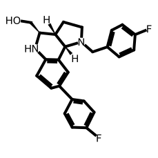 OC[C@@H]1Nc2ccc(-c3ccc(F)cc3)cc2[C@@H]2[C@H]1CCN2Cc1ccc(F)cc1